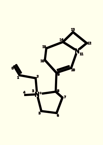 C=CC[N+]1(C)CCCC1C1=CN2CCC2CC1